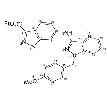 CCOC(=O)c1nsc2cc(Nc3nn(Cc4ccc(OC)cc4)c4cccnc34)ccc12